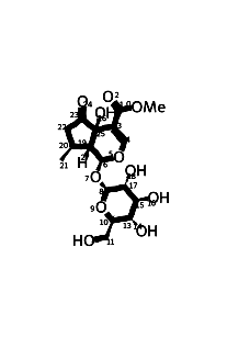 COC(=O)C1=CO[C@@H](O[C@@H]2O[C@H](CO)[C@@H](O)[C@H](O)[C@H]2O)[C@@H]2[C@@H](C)CC(=O)[C@]12O